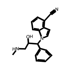 CNCC(O)C(c1ccccc1)n1ccc2c(C#N)cccc21